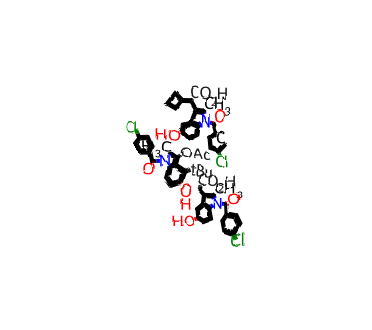 CC(=O)Oc1c(C)n(C(=O)c2ccc(Cl)cc2)c2ccc(O)c(C(C)(C)C)c12.Cc1c(C(C(=O)O)C2CCC2)c2cc(O)ccc2n1C(=O)c1ccc(Cl)cc1.Cc1c(CC(=O)O)c2cc(O)ccc2n1C(=O)c1ccc(Cl)cc1